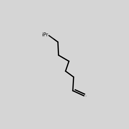 [CH]=CCCCCCC(C)C